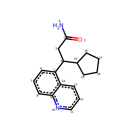 NC(=O)CC(c1cccc2ncccc12)C1CCCC1